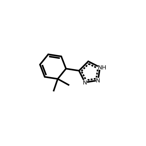 CC1(C)C=CC=CC1c1c[nH]nn1